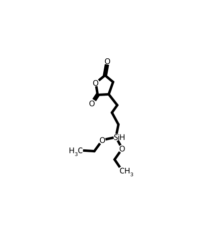 CCO[SiH](CCCC1CC(=O)OC1=O)OCC